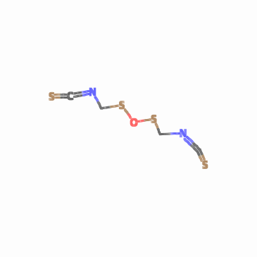 S=C=NCSOSCN=C=S